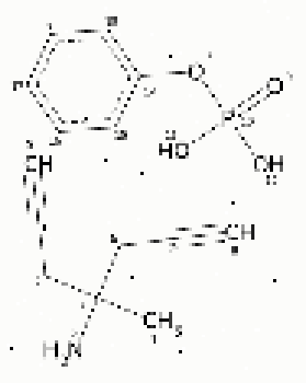 C#CCC(C)(N)CC#C.O=P(O)(O)Oc1ccccc1